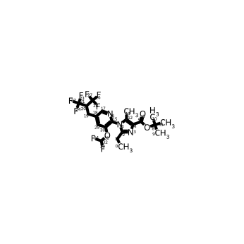 CCc1nc(C(=O)OC(C)(C)C)c(C)n1-c1ncc(CC(C(F)(F)F)C(F)(F)F)cc1OC(F)F